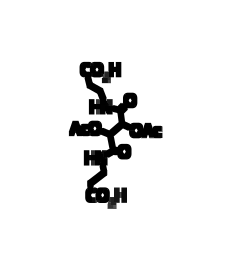 CC(=O)OC(C(=O)NCCC(=O)O)C(OC(C)=O)C(=O)NCCC(=O)O